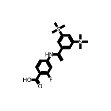 C=C(Nc1ccc(C(=O)O)c(F)c1)c1cc(S(C)(C)C)cc(S(C)(C)C)c1